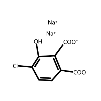 O=C([O-])c1ccc(Cl)c(O)c1C(=O)[O-].[Na+].[Na+]